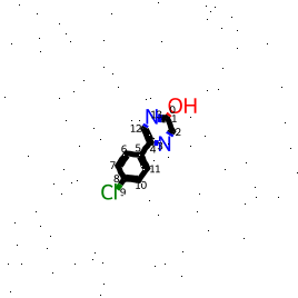 Oc1cnc(-c2ccc(Cl)cc2)cn1